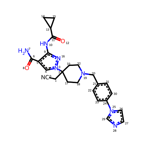 N#CCC1(n2cc(C(N)=O)c(NC(=O)C3CC3)n2)CCN(Cc2ccc(-n3ccnc3)cc2)CC1